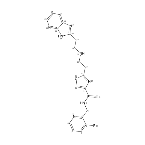 O=C(NCc1ncccc1F)c1coc(CCNCCc2nc3cccnc3[nH]2)n1